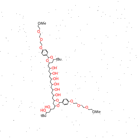 COCCOCCOCCOc1ccc(C2OC(CC(O)CC(O)CC(O)CC(O)CC(O)CC(O)CC3CC(C(C)(C)C)OC(c4ccc(OCCOCCOCCOC)cc4)O3)CC(CC(O)CC(O)C(C)(C)C)O2)cc1